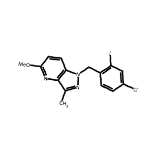 COc1ccc2c(n1)c(C)nn2Cc1ccc(Cl)cc1I